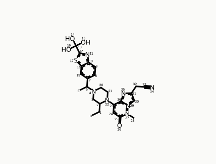 CCC1CN(C(C)c2ccc3nc(C(O)(O)O)sc3c2)CCN1c1cc(=O)n(C)n2cc(CC#N)nc12